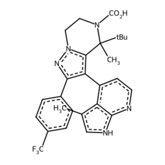 Cc1c[nH]c2nccc(-c3c(-c4ccc(C(F)(F)F)cc4)nn4c3C(C)(C(C)(C)C)N(C(=O)O)CC4)c12